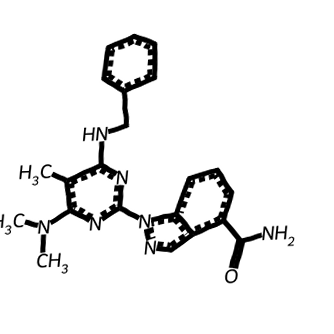 Cc1c(NCc2ccccc2)nc(-n2ncc3c(C(N)=O)cccc32)nc1N(C)C